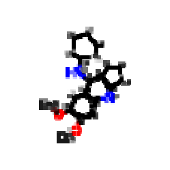 CCOc1cc2nc3c(c(NC4CCCCC4)c2cc1OCC)CCC3